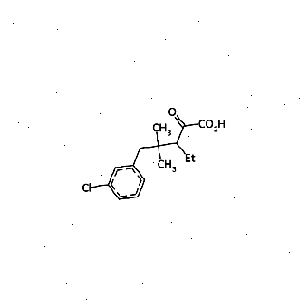 CCC(C(=O)C(=O)O)C(C)(C)Cc1cccc(Cl)c1